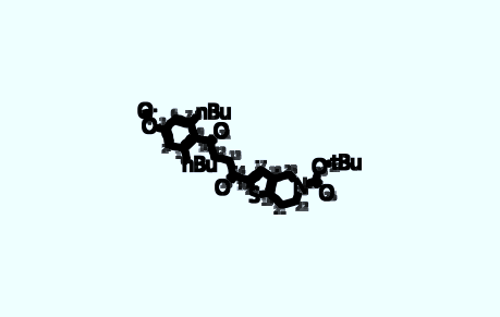 CCCCc1[c]c(O[O])cc(CCCC)c1C(=O)CCC(=O)c1cc2c(s1)CCN(C(=O)OC(C)(C)C)C2